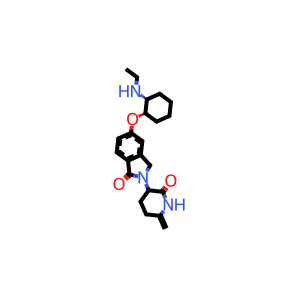 C=C1CCC(N2Cc3cc(O[C@@H]4CCCC[C@@H]4NCC)ccc3C2=O)C(=O)N1